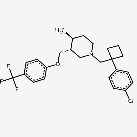 C[C@H]1CCN(CC2(c3ccc(Cl)cc3)CCC2)C[C@@H]1COc1ccc(C(F)(F)F)cc1